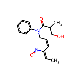 C/C=C(\C=C/CN(C(=O)C(C)CO)c1ccccc1)N=O